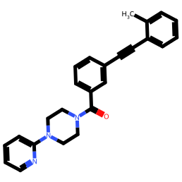 Cc1ccccc1C#Cc1cccc(C(=O)N2CCN(c3ccccn3)CC2)c1